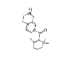 CC1=C(C(=O)c2ccc3c(c2)CNCC3)C(C)(C)CCC1